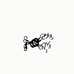 C[C]12[CH]3[C]4(P(=O)=O)[CH]5[C]1(C)[Fe]35421678[CH]2[C]1(P(=O)=O)[CH]6[C]7(C)[C]28C